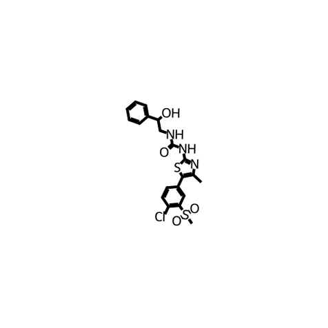 Cc1nc(NC(=O)NCC(O)c2ccccc2)sc1-c1ccc(Cl)c(S(C)(=O)=O)c1